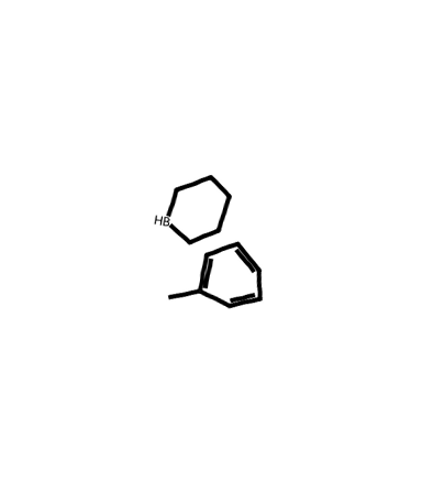 B1CCCCC1.Cc1ccccc1